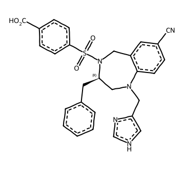 N#Cc1ccc2c(c1)CN(S(=O)(=O)c1ccc(C(=O)O)cc1)[C@H](Cc1ccccc1)CN2Cc1c[nH]cn1